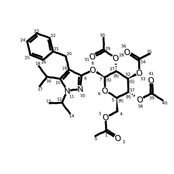 CC(=O)OC[C@H]1O[C@@H](Oc2nn(C(C)C)c(C(C)C)c2Cc2ccccc2)[C@H](OC(C)=O)[C@@H](OC(C)=O)[C@@H]1OC(C)=O